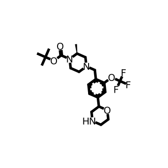 C[C@H]1CN(Cc2ccc(C3CNCCO3)cc2OC(F)(F)F)CCN1C(=O)OC(C)(C)C